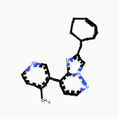 Cc1ccncc1-c1ccnn2cc(C3CC=CCC3)nc12